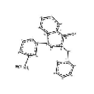 Cl.Nc1cccc(-c2nn(Cc3ccccc3)c(=O)c3ccccc23)c1